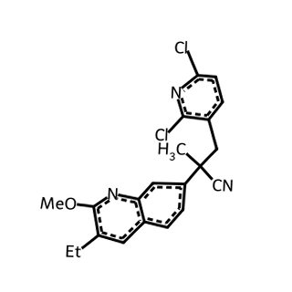 CCc1cc2ccc(C(C)(C#N)Cc3ccc(Cl)nc3Cl)cc2nc1OC